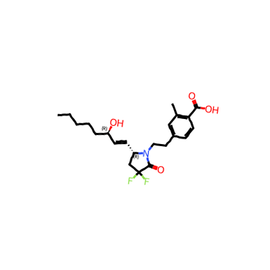 CCCCC[C@@H](O)C=C[C@H]1CC(F)(F)C(=O)N1CCc1ccc(C(=O)O)c(C)c1